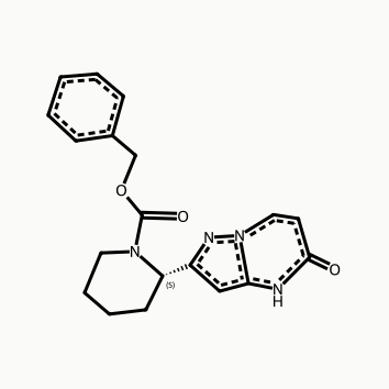 O=C(OCc1ccccc1)N1CCCC[C@H]1c1cc2[nH]c(=O)ccn2n1